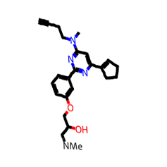 C#CCCN(C)c1cc(C2=CCCC2)nc(-c2cccc(OCC(O)CNC)c2)n1